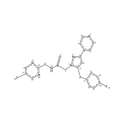 O=C(Cn1nc(-c2ccncc2)cc1Cc1ccc(F)cc1)NCc1ncc(F)cn1